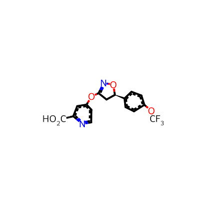 O=C(O)c1cc(OC2=NO[C@@H](c3ccc(OC(F)(F)F)cc3)C2)ccn1